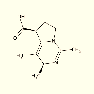 CC1=N[C@@H](C)C(C)=C2[C@@H](C(=O)O)CCN12